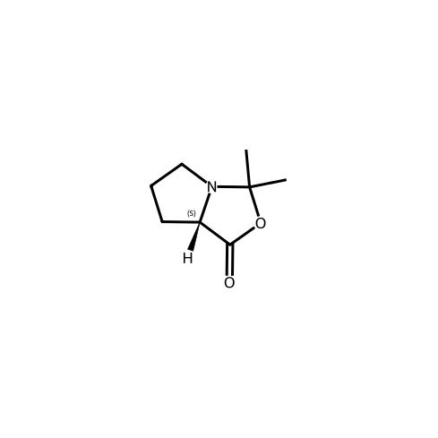 CC1(C)OC(=O)[C@@H]2CCCN21